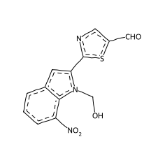 O=Cc1cnc(-c2cc3cccc([N+](=O)[O-])c3n2CO)s1